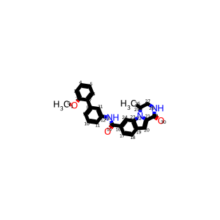 COc1ccccc1-c1cccc(NC(=O)c2ccc3cc4n(c3c2)C(C)CNC4=O)c1